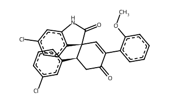 COc1ccccc1C1=C[C@@]2(C(=O)Nc3cc(Cl)ccc32)[C@H](c2cccc(Cl)c2)CC1=O